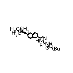 CC(C)[C@H](NC(=O)OC(C)(C)C)c1ncc(-c2ccc3cc(C#C[Si](C)(C)C)ccc3c2)[nH]1